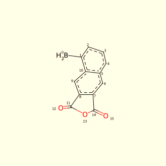 Bc1cccc2cc3c(cc12)C(=O)OC3=O